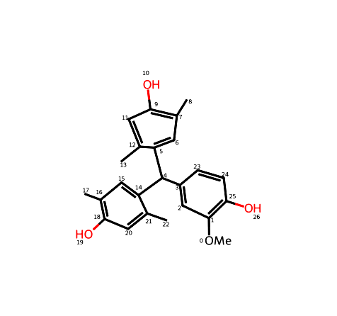 COc1cc(C(c2cc(C)c(O)cc2C)c2cc(C)c(O)cc2C)ccc1O